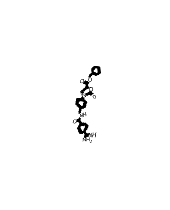 N=C(N)c1ccc(C(=O)NCc2ccc(N3CC(C(=O)OCc4ccccc4)OC3=O)cc2)cc1